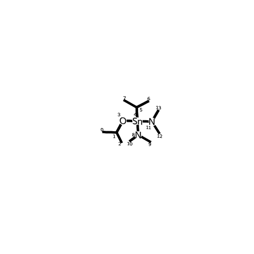 CC(C)[O][Sn]([CH](C)C)([N](C)C)[N](C)C